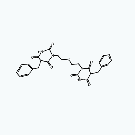 O=C1NC(=O)N(CCOCCN2C(=O)NC(=O)C(Cc3ccccc3)C2=O)C(=O)C1Cc1ccccc1